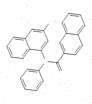 O=C(c1ccc2ccccc2c1)N(c1ccccc1)c1cc(O)cc2ccccc12